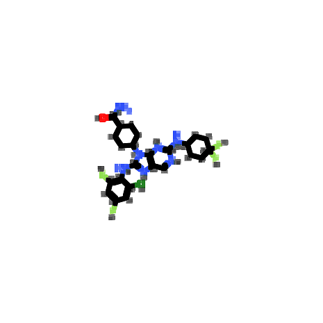 NC(=O)C1CCC(n2c(Nc3c(F)cc(F)cc3Cl)nc3cnc(NC4CCC(F)(F)CC4)nc32)CC1